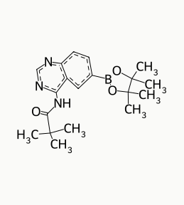 CC(C)(C)C(=O)Nc1ncnc2ccc(B3OC(C)(C)C(C)(C)O3)cc12